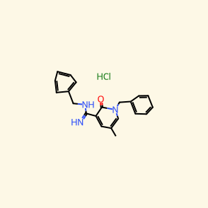 Cc1cc(C(=N)NCc2ccccc2)c(=O)n(Cc2ccccc2)c1.Cl